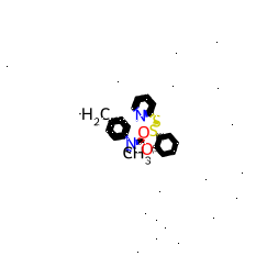 [CH2]c1ccc(N(C)C(=O)O[C@H]2CCCC[C@@H]2SSc2ccccn2)cc1